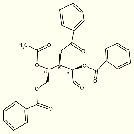 CC(=O)O[C@H](COC(=O)c1ccccc1)[C@@H](OC(=O)c1ccccc1)[C@H](C=O)OC(=O)c1ccccc1